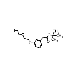 CC(C)(C)OC(=O)Cc1cccc(OCCOCCI)c1